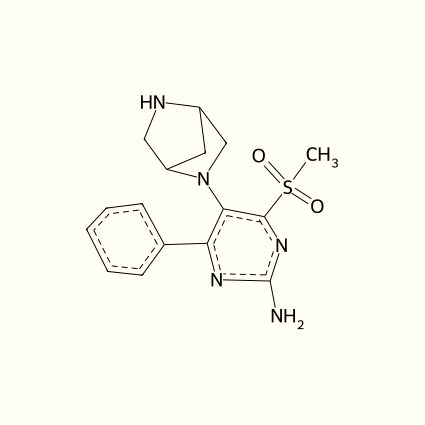 CS(=O)(=O)c1nc(N)nc(-c2ccccc2)c1N1CC2CC1CN2